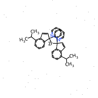 CC(C)c1cccc2c1C=C[C]2([Zr][C]1(c2ccccn2)C=Cc2c(C(C)C)cccc21)c1ccccn1